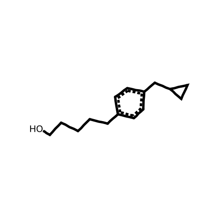 OCCCCCc1ccc(CC2CC2)cc1